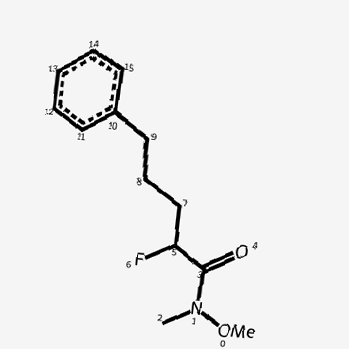 CON(C)C(=O)C(F)CCCc1ccccc1